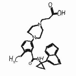 Cc1ccc(N2CCN(CCC(=O)O)CC2)cc1C(=O)NC1(c2cccc3ccccc23)CC1